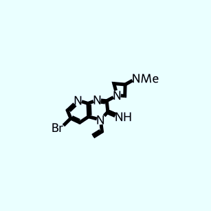 C=Cn1c(=N)c(N2CC(NC)C2)nc2ncc(Br)cc21